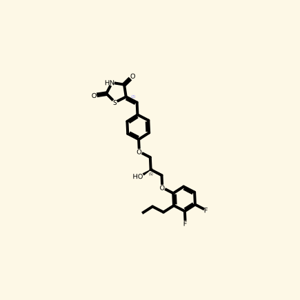 CCCc1c(OC[C@@H](O)COc2ccc(/C=C3\SC(=O)NC3=O)cc2)ccc(F)c1F